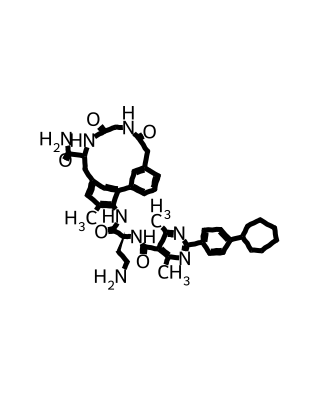 Cc1cc2cc(c1NC(=O)[C@H](CCN)NC(=O)c1c(C)nc(-c3ccc(C4CCCCCC4)cc3)nc1C)-c1cccc(c1)CC(=O)NCC(=O)NC(C(N)=O)C2